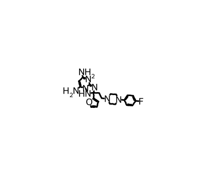 NC1=CC(N)=NC2=NC(CCN3CCN(c4ccc(F)cc4)CC3)(c3ccco3)NN12